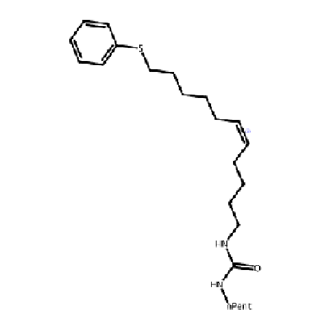 CCCCCNC(=O)NCCCC/C=C\CCCCCSc1ccccc1